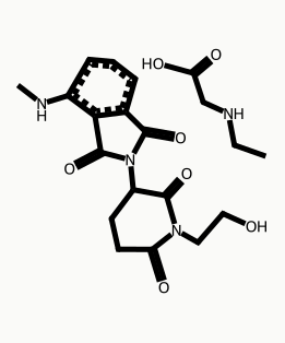 CCNCC(=O)O.CNc1cccc2c1C(=O)N(C1CCC(=O)N(CCO)C1=O)C2=O